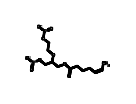 C/C=C\CCCC(=O)OCC(CO[N+](=O)[O-])OCCO[N+](=O)[O-]